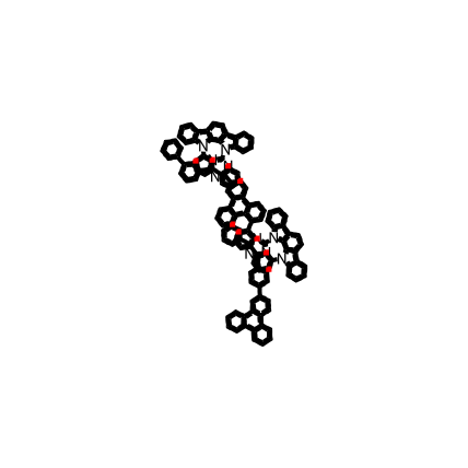 c1ccc(-c2cccc(-c3nc(-c4ccc5c(c4)c4ccccc4c4c(-c6cccc(-c7cccc(-n8c9ccccc9c9ccc%10c%11ccccc%11n(-c%11nc(-c%12ccccc%12)nc(-c%12ccc(-c%13ccc%14c%15ccccc%15c%15ccccc%15c%14c%13)cc%12)n%11)c%10c98)c7)c6)cccc54)nc(-n4c5ccccc5c5ccc6c7ccccc7n(-c7cccc(-c8ccccc8)c7)c6c54)n3)c2)cc1